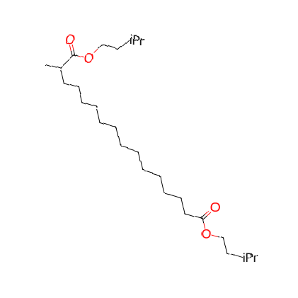 CC(C)CCOC(=O)CCCCCCCCCCCCCC(C)C(=O)OCCC(C)C